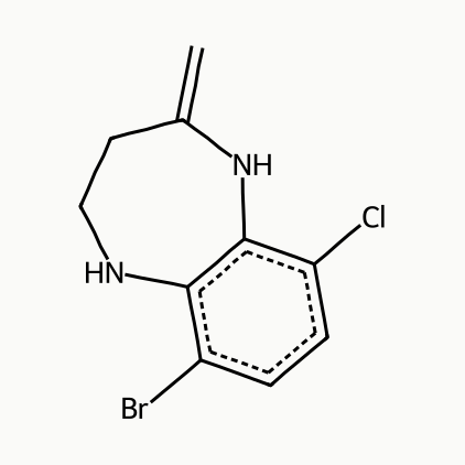 C=C1CCNc2c(Br)ccc(Cl)c2N1